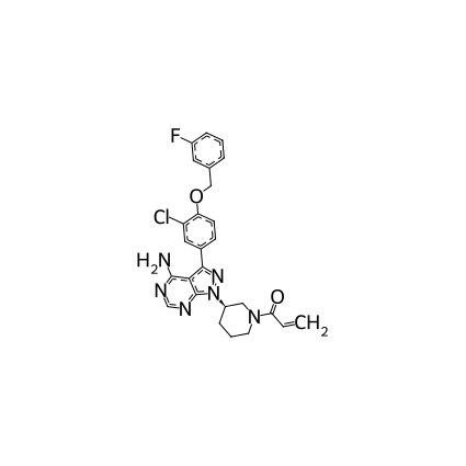 C=CC(=O)N1CCC[C@@H](n2nc(-c3ccc(OCc4cccc(F)c4)c(Cl)c3)c3c(N)ncnc32)C1